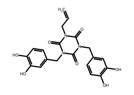 C=CCn1c(=O)n(Cc2ccc(O)c(O)c2)c(=O)n(Cc2ccc(O)c(O)c2)c1=O